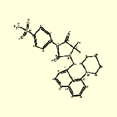 CC1(C)C(=O)N(c2ccc(S(=O)(=O)C(F)(F)F)cc2)C(=O)N1Cc1ccnc2cccc(N3CCCCC3)c12